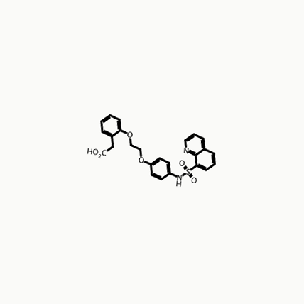 O=C(O)Cc1ccccc1OCCOc1ccc(NS(=O)(=O)c2cccc3cccnc23)cc1